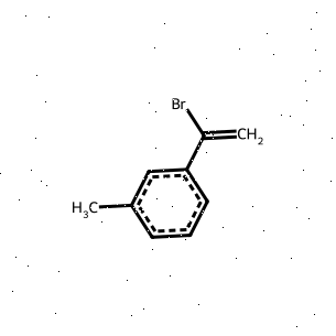 C=C(Br)c1cccc(C)c1